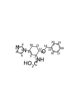 O=C(O)NC1C=C(n2ccnc2)CCC1OCc1ccccc1